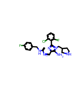 C=C(/N=C\c1nc(-c2c(F)cccc2Cl)n(CC2CCNC2)c1N)NCc1ccc(F)cc1